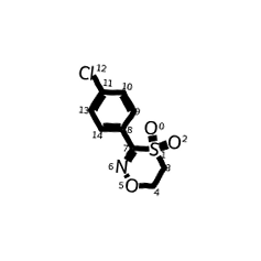 O=S1(=O)CCON=C1c1ccc(Cl)cc1